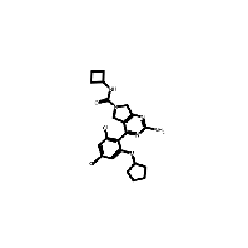 Nc1nc2c(c(-c3c(Cl)cc(Cl)cc3OC3CCCC3)n1)CN(C(=O)NC1CCC1)C2